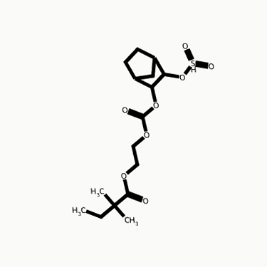 CCC(C)(C)C(=O)OCCOC(=O)OC1C2CCC(C2)C1O[SH](=O)=O